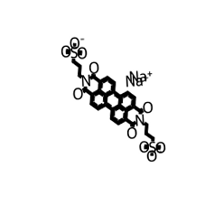 O=C1c2ccc3c4ccc5c6c(ccc(c7ccc(c2c37)C(=O)N1CCCS(=O)(=O)[O-])c64)C(=O)N(CCCS(=O)(=O)[O-])C5=O.[Na+].[Na+]